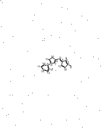 CC1=C(C)C(=CC2=CC(c3ccccc3)=CC2)C=C1